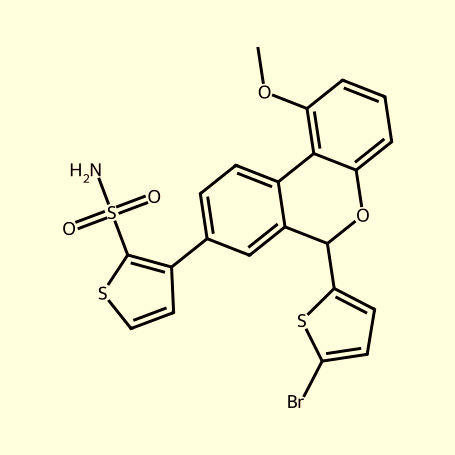 COc1cccc2c1-c1ccc(-c3ccsc3S(N)(=O)=O)cc1C(c1ccc(Br)s1)O2